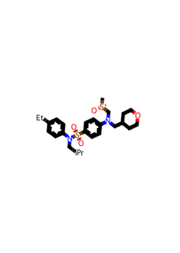 CCc1ccc(N(CC(C)C)S(=O)(=O)c2ccc(N(CC3CCOCC3)C[S+](C)[O-])cc2)cc1